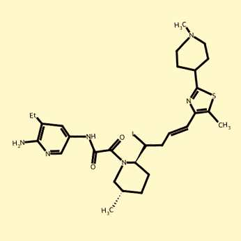 CCc1cc(NC(=O)C(=O)N2C[C@@H](C)CC[C@@H]2C(I)C/C=C/c2nc(C3CCN(C)CC3)sc2C)cnc1N